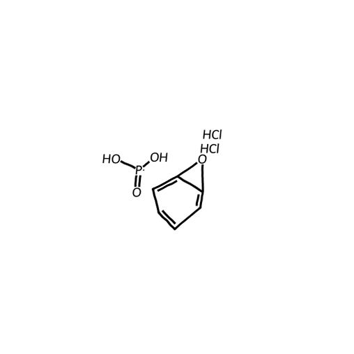 Cl.Cl.O=[P](O)O.c1ccc2c(c1)O2